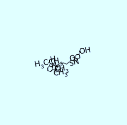 CC(C)c1cccc(C(C)C)c1NC(=O)CCCCCSc1nc2ccc(CO)cc2o1